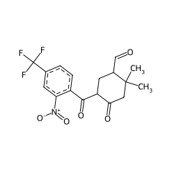 CC1(C)CC(=O)C(C(=O)c2ccc(C(F)(F)F)cc2[N+](=O)[O-])CC1C=O